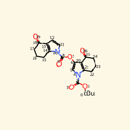 CC(C)(C)OC(=O)n1cc(OC(=O)n2ccc3c2CCCC3=O)c2c1CCCC2=O